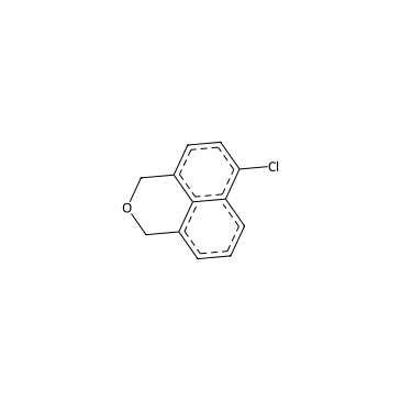 Clc1ccc2c3c(cccc13)COC2